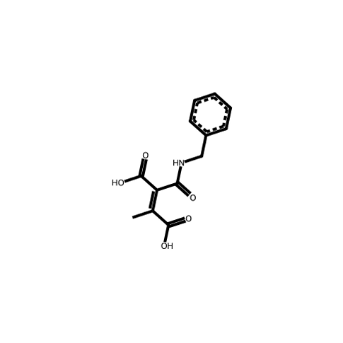 C/C(C(=O)O)=C(\C(=O)O)C(=O)NCc1ccccc1